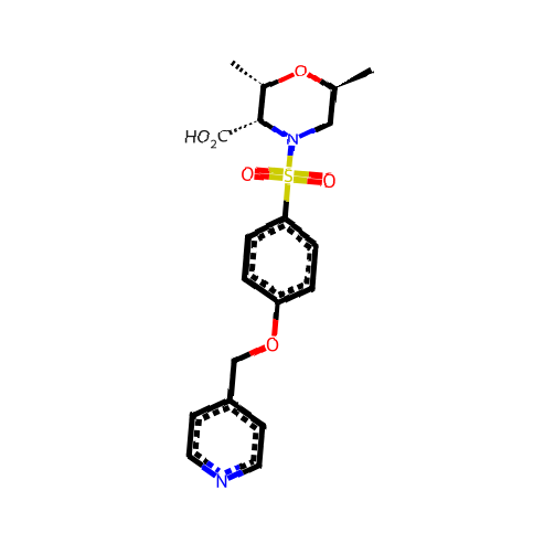 C[C@@H]1O[C@@H](C)CN(S(=O)(=O)c2ccc(OCc3ccncc3)cc2)[C@@H]1C(=O)O